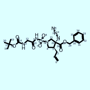 C=CC[C@H]1CN(S(=O)(=O)NC(=O)CNC(=O)OC(C)(C)C)C[C@@]1(N=[N+]=[N-])C(=O)OCc1ccccc1